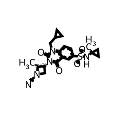 C[C@H]1[C@H](n2c(=O)c3cc(S(=O)(=O)NC4(C)CC4)ccc3n(CC3CC3)c2=O)CN1C#N